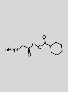 CCCCCCCCC(=O)OOC(=O)C1CCCCC1